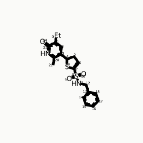 CCc1cc(C2CC=C(S(=O)(=O)NCc3ccccc3)S2)c(C)[nH]c1=O